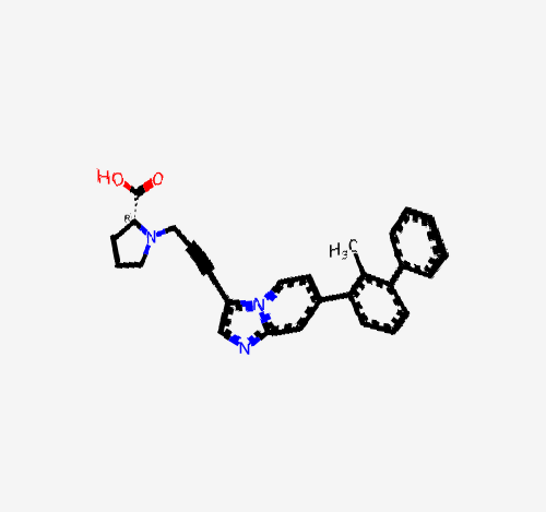 Cc1c(-c2ccccc2)cccc1-c1ccn2c(C#CCN3CCC[C@@H]3C(=O)O)cnc2c1